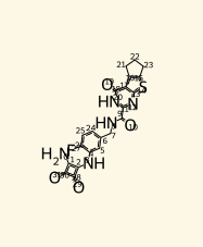 Nc1c(Nc2cc(CNC(=O)c3nc4sc5c(c4c(=O)[nH]3)CCC5)ccc2F)c(=O)c1=O